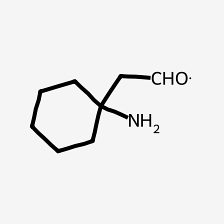 NC1(C[C]=O)CCCCC1